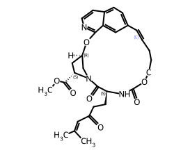 COC(=O)[C@@H]1C[C@@H]2CN1C(=O)[C@H](CCC(=O)C=C(C)C)NC(=O)OCCC/C=C/c1ccc3ccnc(c3c1)O2